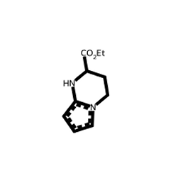 CCOC(=O)C1CCn2cccc2N1